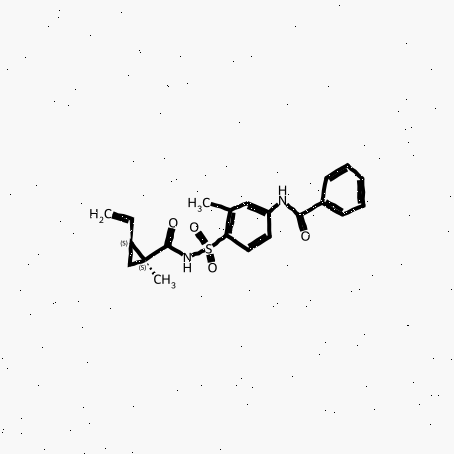 C=C[C@@H]1C[C@]1(C)C(=O)NS(=O)(=O)c1ccc(NC(=O)c2ccccc2)cc1C